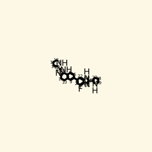 Fc1cc(-c2ccc3c(c2)CCc2nc([C@@H]4CCCN4)[nH]c2-3)cc2[nH]c([C@@H]3CCCN3)nc12